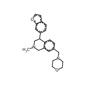 CN1Cc2cc(CN3CCOCC3)ccc2C(c2ccc3ccoc3c2)C1